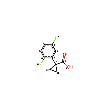 O=C(O)C1(c2cc(F)ccc2F)CC1